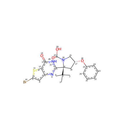 CC(C)(C)[C@]1(c2nc3cc(Br)sc3c(=O)[nH]2)C[C@@H](Oc2ccccc2)CN1C(=O)O